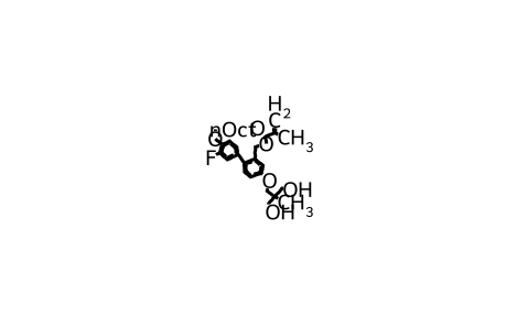 C=C(C)C(=O)OCc1cc(OCC(C)(CO)CO)ccc1-c1ccc(OCCCCCCCC)c(F)c1